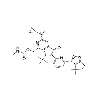 CNC(=O)OCc1nc(N(C)C2CC2)cc2c1C(C(C)(C)C)N(c1cccc(-c3nnc4n3C(C)(C)CC4)n1)C2=O